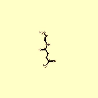 NN=CNC(=O)CCC(=O)O